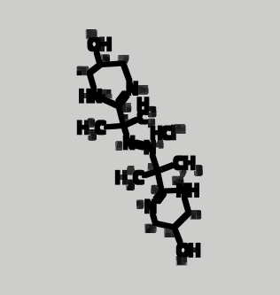 CC(C)(N=NC(C)(C)C1=NCC(O)CN1)C1=NCC(O)CN1.Cl